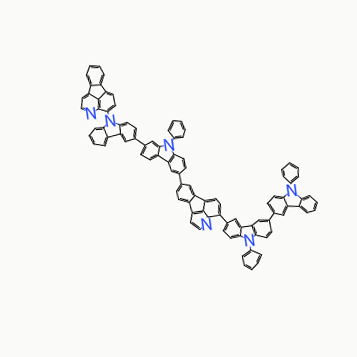 c1ccc(-n2c3ccccc3c3cc(-c4ccc5c(c4)c4cc(-c6ccc7c8c(ccnc68)-c6ccc(-c8ccc9c(c8)c8ccc(-c%10ccc%11c(c%10)c%10ccccc%10n%11-c%10ccc%11c%12c(ccnc%10%12)-c%10ccccc%10-%11)cc8n9-c8ccccc8)cc6-7)ccc4n5-c4ccccc4)ccc32)cc1